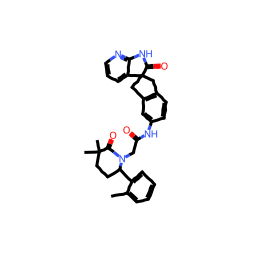 Cc1ccccc1C1CCC(C)(C)C(=O)N1CC(=O)Nc1ccc2c(c1)CC1(C2)C(=O)Nc2ncccc21